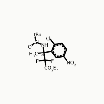 CCOC(=O)C(F)(F)[C@](C)(N[S+]([O-])C(C)(C)C)c1cc([N+](=O)[O-])ccc1Cl